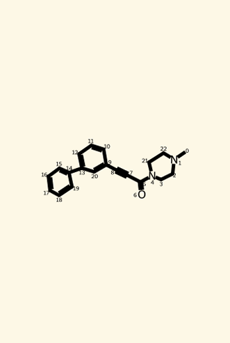 CN1CCN(C(=O)C#Cc2cccc(-c3ccccc3)c2)CC1